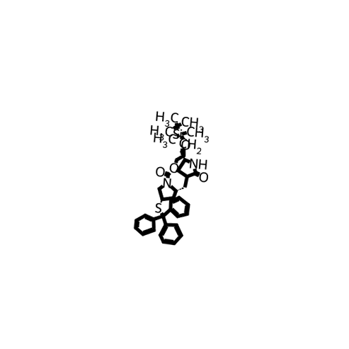 C=CCOC(=O)N1C[C@@H](SC(c2ccccc2)(c2ccccc2)c2ccccc2)C[C@H]1CC1C[C@@H](CO[Si](C)(C)C(C)(C)C)NC1=O